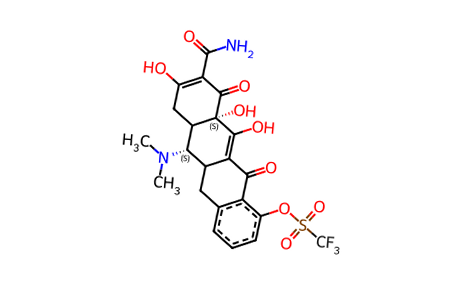 CN(C)[C@H]1C2Cc3cccc(OS(=O)(=O)C(F)(F)F)c3C(=O)C2=C(O)[C@]2(O)C(=O)C(C(N)=O)=C(O)CC12